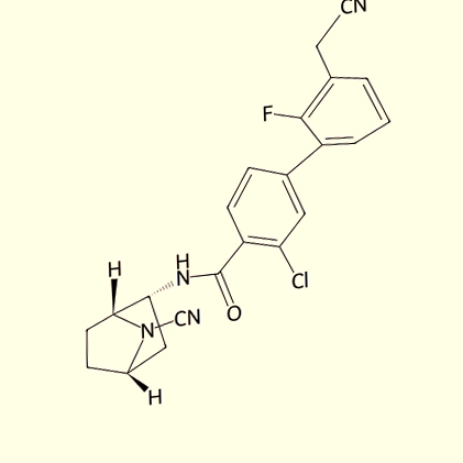 N#CCc1cccc(-c2ccc(C(=O)N[C@@H]3C[C@@H]4CC[C@H]3N4C#N)c(Cl)c2)c1F